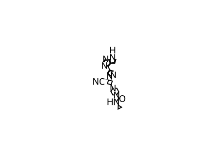 N#CC[C@]1(n2cc(-c3ncnc4[nH]ccc34)cn2)C[C@@H](N2CCN(C(=O)NC3CC3)CC2)C1